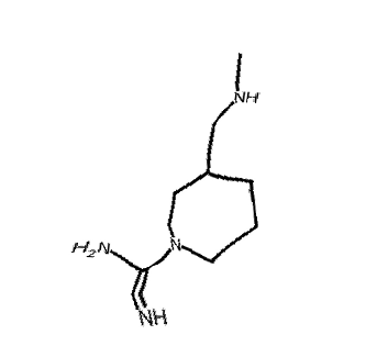 CNCC1CCCN(C(=N)N)C1